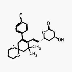 CC1(C)CC2(CC(c3ccc(F)cc3)=C1C=C[C@H]1C[C@H](O)CC(=O)O1)SCCCS2